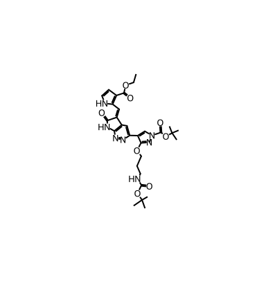 CCOC(=O)c1cc[nH]c1/C=C1\C(=O)Nc2nnc(-c3cn(C(=O)OC(C)(C)C)nc3OCCCNC(=O)OC(C)(C)C)cc21